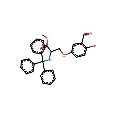 COC(=O)C(COc1ccc(Br)c(C=O)c1)NC(c1ccccc1)(c1ccccc1)c1ccccc1